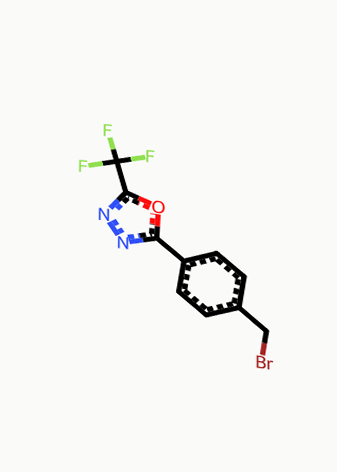 FC(F)(F)c1nnc(-c2ccc(CBr)cc2)o1